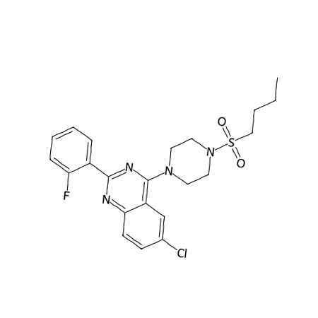 CCCCS(=O)(=O)N1CCN(c2nc(-c3ccccc3F)nc3ccc(Cl)cc23)CC1